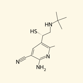 Cc1nc(N)c(C#N)cc1[C@H](S)CNC(C)(C)C